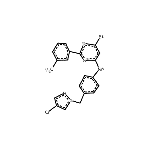 CCc1cc(Nc2ccc(Cn3cc(Cl)cn3)cc2)nc(-c2cccc(C)c2)n1